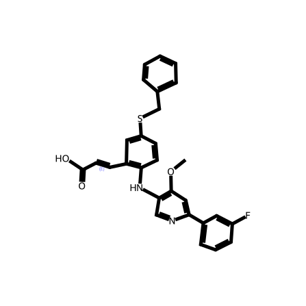 COc1cc(-c2cccc(F)c2)ncc1Nc1ccc(SCc2ccccc2)cc1/C=C/C(=O)O